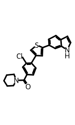 O=C(c1ccc(-c2csc(-c3ccc4cc[nH]c4c3)c2)c(Cl)c1)N1CCCCC1